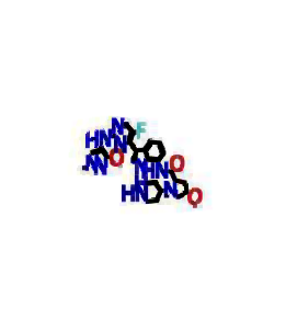 COc1nn(C)cc1Nc1ncc(F)c(-c2c[nH]c3c(NC(=O)C4CC(OC)CN4C4CCNCC4)cccc23)n1